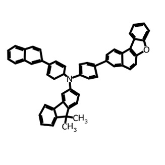 CC1(C)c2ccccc2-c2cc(N(c3ccc(-c4ccc5c(ccc6oc7ccccc7c65)c4)cc3)C3C=CC(c4ccc5ccccc5c4)=CC3)ccc21